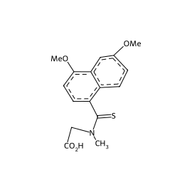 COc1ccc2c(C(=S)N(C)CC(=O)O)ccc(OC)c2c1